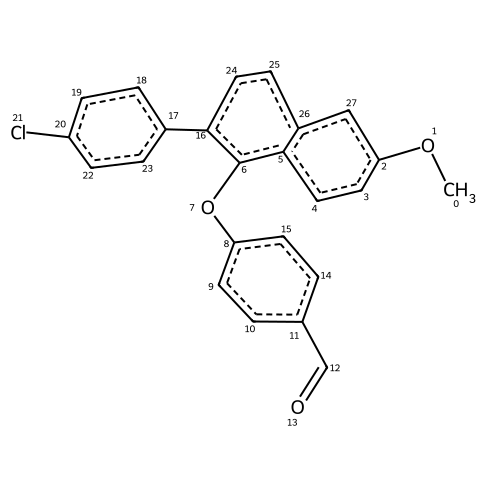 COc1ccc2c(Oc3ccc(C=O)cc3)c(-c3ccc(Cl)cc3)ccc2c1